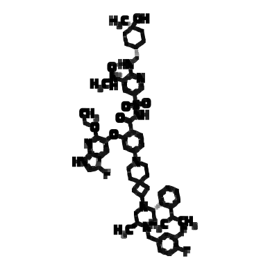 CCOc1nc2[nH]cc(F)c2cc1Oc1cc(N2CCC3(CC2)CC(N2C[C@H](C)N(Cc4ccc(F)c(F)c4)C[C@H]2c2ccccc2C(C)C)C3)ccc1C(=O)NS(=O)(=O)c1cnc(NC[C@H]2CC[C@](C)(O)CC2)c([NH+](C)[O-])c1